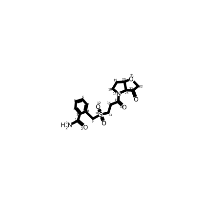 NC(=O)c1ccccc1CS(=O)(=O)C[CH]C(=O)N1CCC2OCC(=O)C21